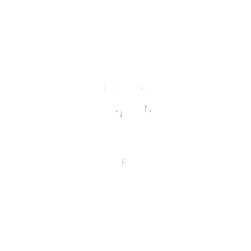 Cc1nc2cc(F)ccc2nc1Cl